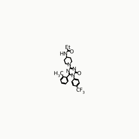 CCC(=O)NC1CCN(c2nc(-c3ccccc3C)n(-c3ccc(C(F)(F)F)cc3)c(=O)n2)CC1